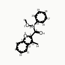 CON(C(=O)c1oc2ccccc2c1C)c1ccccc1